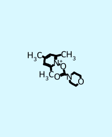 Cc1cc(C)[n+](OC(=O)N2CCOCC2)c(C)c1